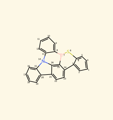 c1ccc2c(c1)SB1c3ccccc3-n3c4ccccc4c4ccc-2c1c43